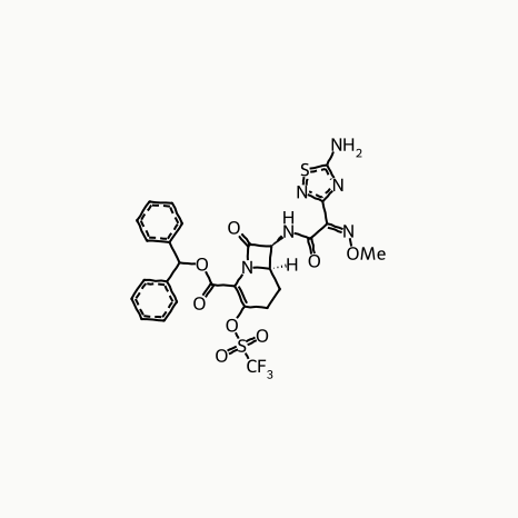 CO/N=C(\C(=O)N[C@@H]1C(=O)N2C(C(=O)OC(c3ccccc3)c3ccccc3)=C(OS(=O)(=O)C(F)(F)F)CC[C@H]12)c1nsc(N)n1